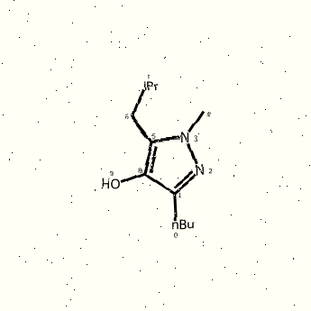 CCCCc1nn(C)c(CC(C)C)c1O